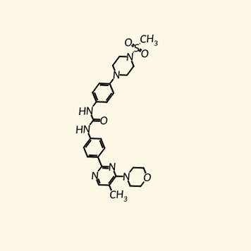 Cc1cnc(-c2ccc(NC(=O)Nc3ccc(N4CCN(S(C)(=O)=O)CC4)cc3)cc2)nc1N1CCOCC1